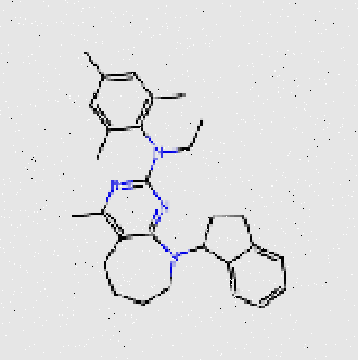 CCN(c1nc(C)c2c(n1)N(C1CCc3ccccc31)CCCC2)c1c(C)cc(C)cc1C